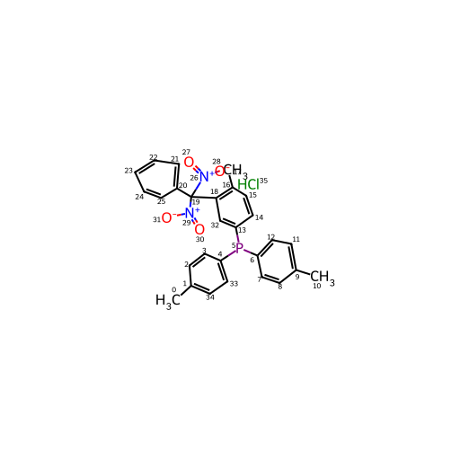 Cc1ccc(P(c2ccc(C)cc2)c2ccc(C)c(C(c3ccccc3)([N+](=O)[O-])[N+](=O)[O-])c2)cc1.Cl